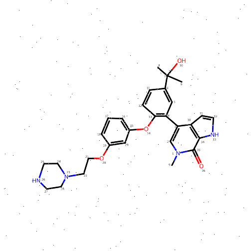 Cn1cc(-c2cc(C(C)(C)O)ccc2Oc2cccc(OCCN3CCNCC3)c2)c2cc[nH]c2c1=O